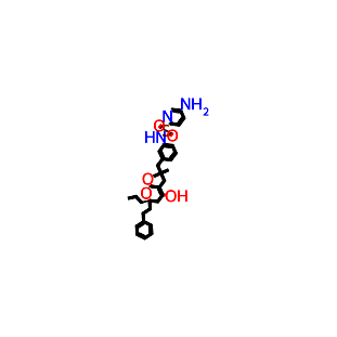 CCC[C@]1(CCc2ccccc2)CC(O)=C(CC(C)(C)Cc2cccc(NS(=O)(=O)c3ccc(N)cn3)c2)C(=O)O1